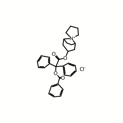 O=C(OC(C(=O)OC1CC2CCC(C1)[N+]21CCCC1)(c1ccccc1)c1ccccc1)c1ccccc1.[Cl-]